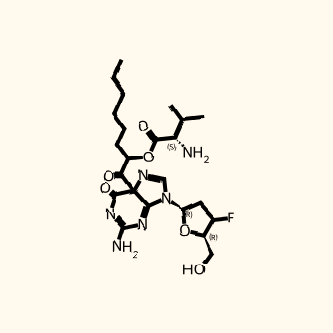 CCCCCCC(OC(=O)[C@@H](N)C(C)C)C(=O)C12N=CN([C@H]3CC(F)[C@@H](CO)O3)C1=NC(N)=NC2=O